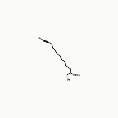 [CH2]CC#CCCCCCCCCCC(CCCCC[CH2])CC(C)C